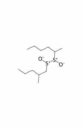 CCCCC(C)[S+]([O-])[S+]([O-])CC(C)CCC